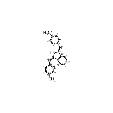 Cc1ccc(/N=C2\N/C(=N/c3ccc(C)cn3)c3ccccc32)nc1